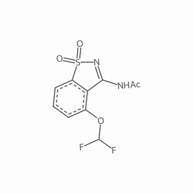 CC(=O)NC1=NS(=O)(=O)c2cccc(OC(F)F)c21